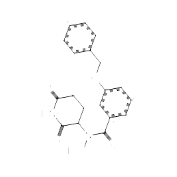 CN(C(=O)c1cccc(OCc2ccccc2)c1)C1CCC(=O)NC1=O